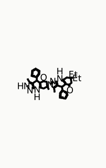 CCC1(CC)CC(=O)C2=C(C1)Nc1nn(C3(C)CC(=O)C4=C(C3)Nc3n[nH]c(C)c3C4c3ccccc3)c(C)c1C2c1ccccc1